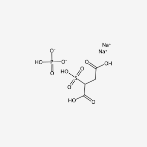 O=C(O)CC(C(=O)O)S(=O)(=O)O.O=P([O-])([O-])O.[Na+].[Na+]